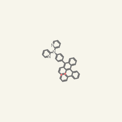 c1ccc(-c2ccccc2-c2c3ccccc3c(-c3ccc(N(c4ccccn4)c4ccccn4)cc3)c3ccccc23)cc1